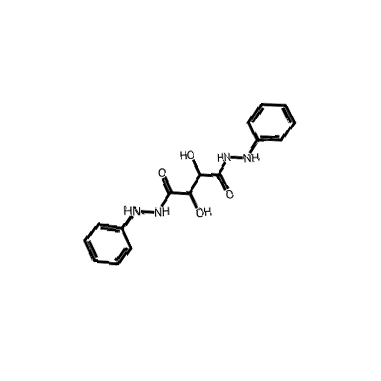 O=C(NNc1ccccc1)C(O)C(O)C(=O)NNc1ccccc1